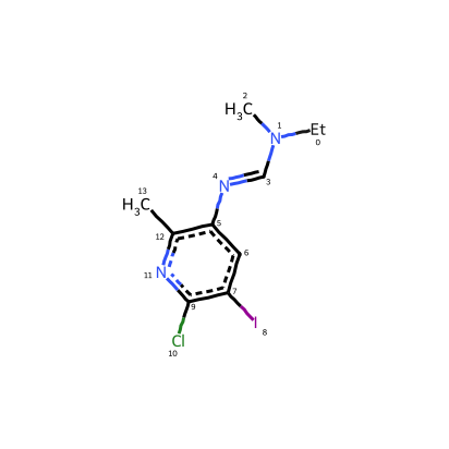 CCN(C)/C=N/c1cc(I)c(Cl)nc1C